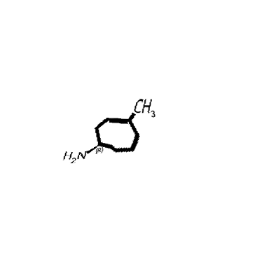 CC1=CC[C@H](N)CCC1